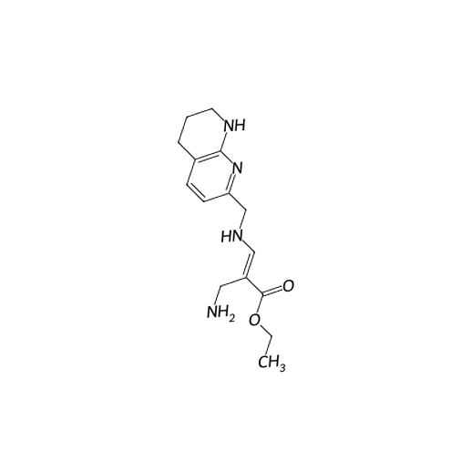 CCOC(=O)/C(=C/NCc1ccc2c(n1)NCCC2)CN